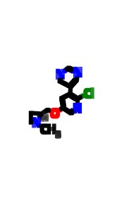 CN1CC[C@H]1COc1cnc(Cl)c(-c2cncnc2)c1